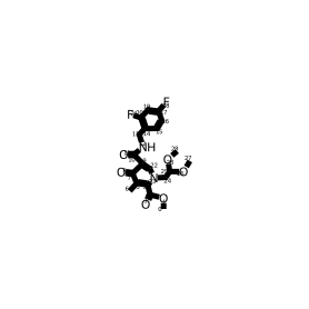 COC(=O)c1c(C)c(=O)c(C(=O)NCc2ccc(F)cc2F)cn1CC(OC)OC